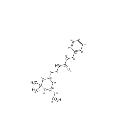 CC1(C)O[C@H](CCNC(=O)OCc2ccccc2)C[C@H](CC(=O)O)O1